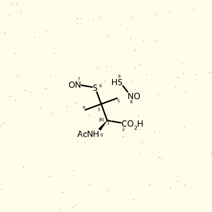 CC(=O)N[C@H](C(=O)O)C(C)(C)SN=O.O=NS